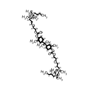 CCCC[Si](C)(C)O[Si](C)(C)CCCOCCOC(=O)Oc1ccc(C(C)(C)c2ccc(OC(=O)OCCOCCC[Si](C)(C)O[Si](C)(C)CCCC)c(C)c2)cc1C